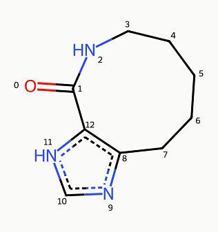 O=C1NCCCCCc2nc[nH]c21